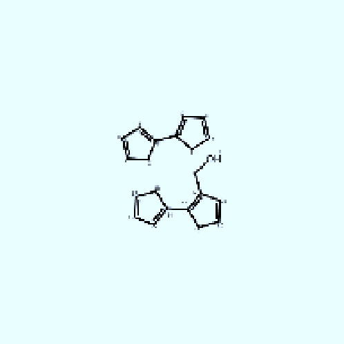 C1=CCC(C2=CC=CC2)=C1.OCC1=C(C2=CC=CC2)CC=C1